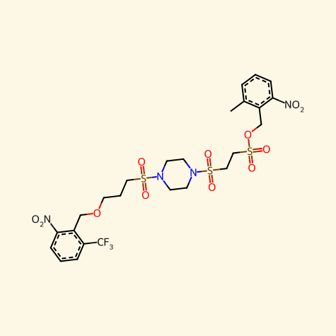 Cc1cccc([N+](=O)[O-])c1COS(=O)(=O)CCS(=O)(=O)N1CCN(S(=O)(=O)CCCOCc2c([N+](=O)[O-])cccc2C(F)(F)F)CC1